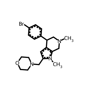 CN1Cc2c(cc(CN3CCOCC3)n2C)C(c2ccc(Br)cc2)C1